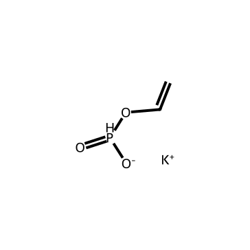 C=CO[PH](=O)[O-].[K+]